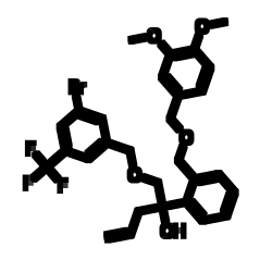 C=CCC(O)(COCc1cc(Br)cc(C(F)(F)F)c1)c1ccccc1COCc1ccc(OC)c(OC)c1